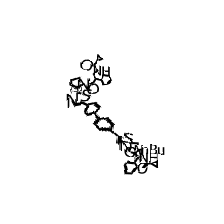 CCCCN(Cc1ncc(-c2ccc(-c3ccc(-c4cnc([C@@H]5CCCN5C(=O)C(CNC(=O)C5CC5)c5ccccc5)s4)cc3)cc2)s1)C(=O)[C@H](NC(=O)C1CC1)c1ccccc1